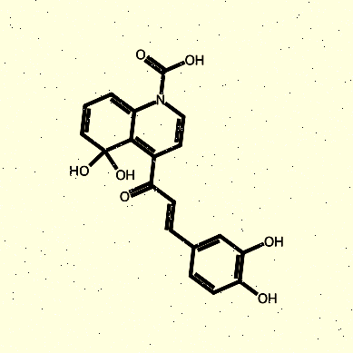 O=C(C=Cc1ccc(O)c(O)c1)C1=C2C(=CC=CC2(O)O)N(C(=O)O)C=C1